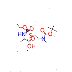 CCO[P@](=O)(NC(C)C(=O)O)SCCN(C)C(=O)OC(C)(C)C